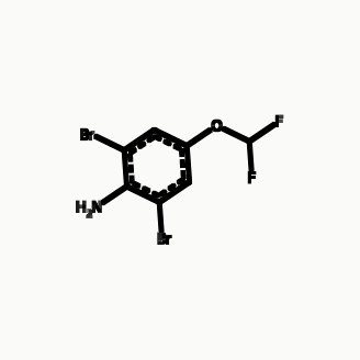 Nc1c(Br)cc(OC(F)F)cc1Br